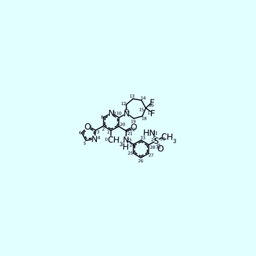 Cc1c(-c2ncco2)cnc(N2CCCC(F)(F)CC2)c1C(=O)Nc1cccc(S(C)(=N)=O)c1